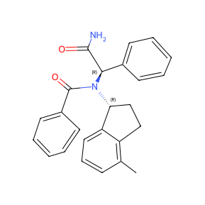 Cc1cccc2c1CC[C@H]2N(C(=O)c1ccccc1)[C@@H](C(N)=O)c1ccccc1